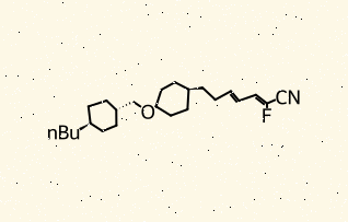 CCCC[C@H]1CC[C@H](CO[C@H]2CC[C@H](CC/C=C/C=C(\F)C#N)CC2)CC1